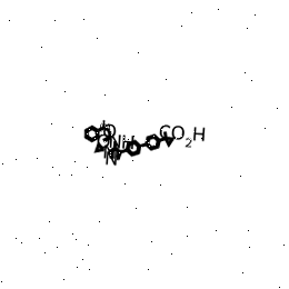 C[C@@H](OC(=O)Nc1c(-c2ccc(-c3ccc(C4(C(=O)O)CC4)cc3)cc2)cnn1C1CC1)c1ccccc1